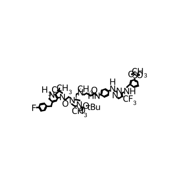 C[C@@H]1CN(CC(=O)N2CC(C)(C)c3ncc(Cc4ccc(F)cc4)cc32)[C@@H](CN(C)CCCC(=O)Nc2ccc(Nc3ncc(C(F)(F)F)c(NCc4cccc(S(C)(=O)=O)c4)n3)cc2)CN1C(=O)OC(C)(C)C